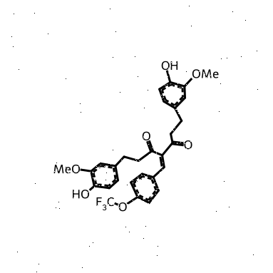 COc1cc(CCC(=O)C(=Cc2ccc(OC(F)(F)F)cc2)C(=O)CCc2ccc(O)c(OC)c2)ccc1O